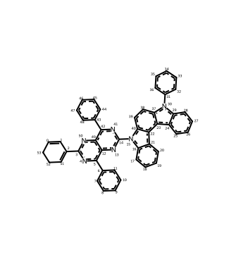 C1=CC(c2nc(-c3ccccc3)c3nc(-n4c5ccccc5c5c6c7ccccc7n(-c7ccccc7)c6ccc54)nc(-c4ccccc4)c3n2)=CCC1